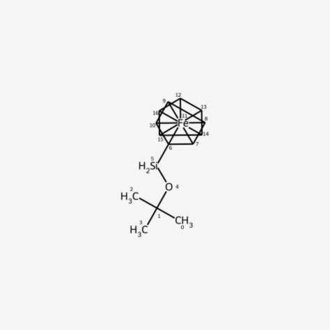 CC(C)(C)O[SiH2][C]12[CH]3[CH]4[CH]5[CH]1[Fe]45321678[CH]2[CH]1[CH]6[CH]7[CH]28